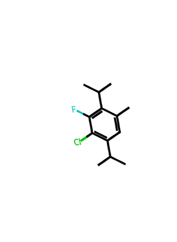 Cc1cc(C(C)C)c(Cl)c(F)c1C(C)C